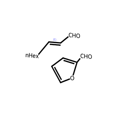 CCCCCC/C=C/C=O.O=Cc1ccco1